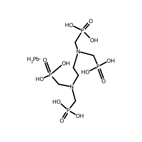 O=P(O)(O)CN(CCN(CP(=O)(O)O)CP(=O)(O)O)CP(=O)(O)O.[PbH2]